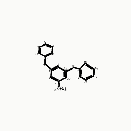 CC[CH]Cc1cc(Cc2ccccc2)cc(Cc2ccccc2)c1